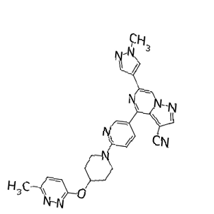 Cc1ccc(OC2CCN(c3ccc(-c4nc(-c5cnn(C)c5)cn5ncc(C#N)c45)cn3)CC2)nn1